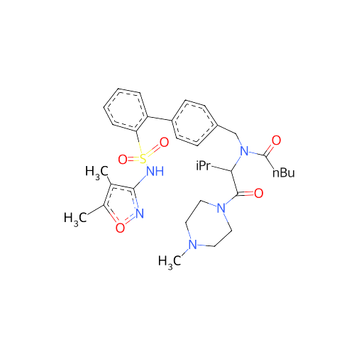 CCCCC(=O)N(Cc1ccc(-c2ccccc2S(=O)(=O)Nc2noc(C)c2C)cc1)C(C(=O)N1CCN(C)CC1)C(C)C